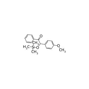 COc1ccc(C(O[Si](C)(C)C)C(=O)c2ccccc2)cc1